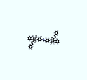 O=C(Nc1ccc(/C=C/c2ccc(NC(=O)[C@@H]3Cc4ccccc4N3C(=O)OCc3ccccc3)cc2)cc1)[C@@H]1Cc2ccccc2N1C(=O)OCc1ccccc1